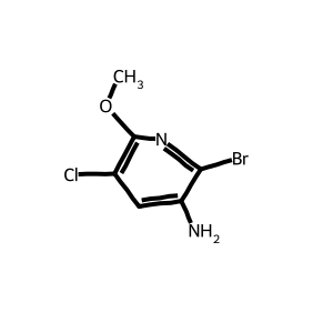 COc1nc(Br)c(N)cc1Cl